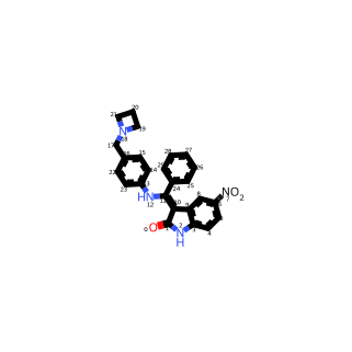 O=C1Nc2ccc([N+](=O)[O-])cc2C1=C(Nc1ccc(CN2CCC2)cc1)c1ccccc1